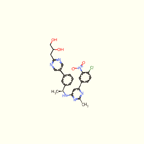 Cc1nc(N[C@@H](C)c2cccc(-c3cnc(CC(O)CO)nc3)c2)cc(-c2ccc(Cl)c([N+](=O)[O-])c2)n1